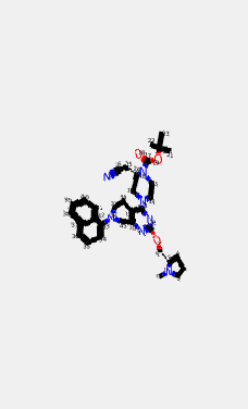 CN1CCC[C@H]1COc1nc2c(c(N3CCN(C(=O)OC(C)(C)C)[C@@H](CC#N)C3)n1)CCN(c1cccc3ccccc13)C2